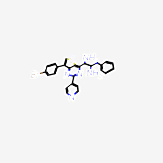 NC(Cc1ccccc1)C(N)c1nc(-c2ccncc2)nc2c(-c3ccc(Br)cc3)csc12